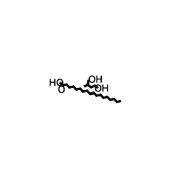 CC(CO)CCO.CCCCCCCCC=CCCCCCCCC(=O)O